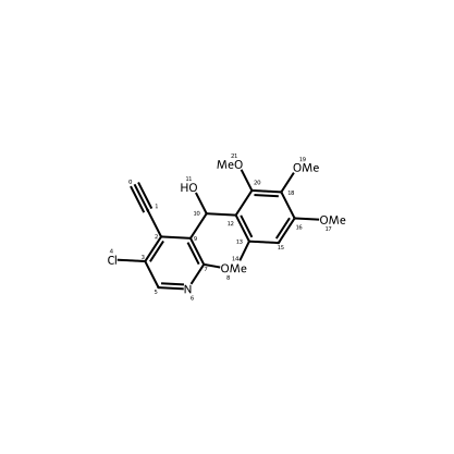 C#Cc1c(Cl)cnc(OC)c1C(O)c1c(C)cc(OC)c(OC)c1OC